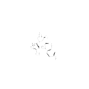 CN1C[C@H](c2cc(Cl)nn2C)[C@@H](C(=O)Nc2ccc(F)cc2F)C1=S